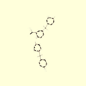 CC(C)(c1ccc(N=O)cc1)c1ccc(Oc2ccc(C(C)(C)c3ccc(O)cc3)cc2C(=O)N=O)cc1